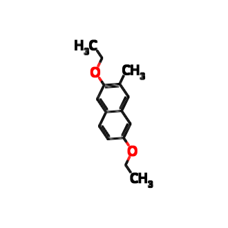 CCOc1ccc2cc(OCC)c(C)cc2c1